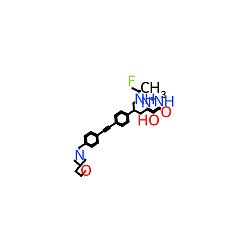 CC(CF)NCC(Cc1nc[nH]c(=O)c1O)c1ccc(C#Cc2ccc(CN3CC4(CCO4)C3)cc2)cc1